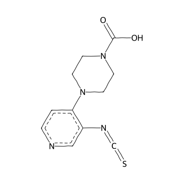 O=C(O)N1CCN(c2ccncc2N=C=S)CC1